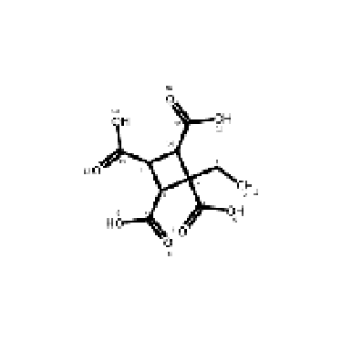 CCC1(C(=O)O)C(C(=O)O)C(C(=O)O)C1C(=O)O